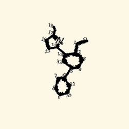 C=Cc1ccc(-c2ccccc2)cc1C1C=CC(C)=N1